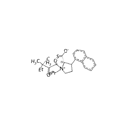 CCC[N+]1(C(=O)C(=O)C(C)(C)CC)CCC(c2cccc3ccccc23)[C@H]1C([O-])=S